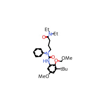 CCN(CC)C(=O)CCCN(C(=O)Nc1cc(OC)cc(C(C)(C)C)c1OCOC)c1ccccc1